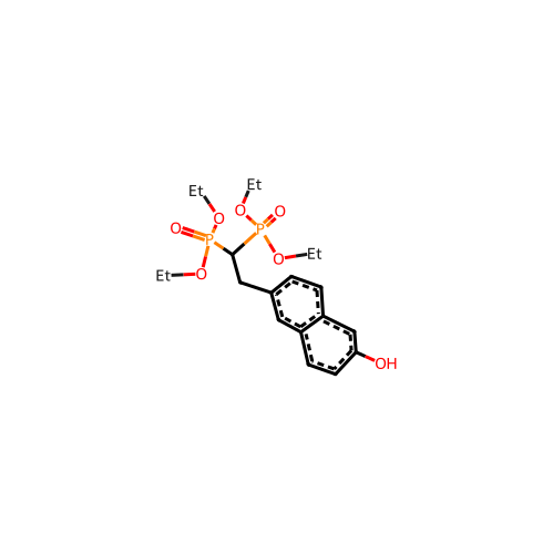 CCOP(=O)(OCC)C(Cc1ccc2cc(O)ccc2c1)P(=O)(OCC)OCC